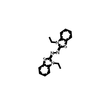 CCn1c(=NN=c2sc3ccccc3n2CC)sc2ccccc21